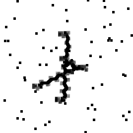 NCCCCCNc1nc(N)nc(N(CCCCCN)CCCCCN)n1